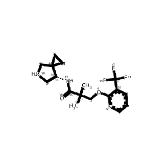 CC(C)(COc1ncccc1C(F)(F)F)C(=O)N[C@@H]1CNCC12CC2